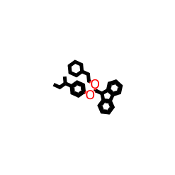 CCC(C)c1ccc(OC(OCCC2CCCCC2)C2c3ccccc3-c3ccccc32)cc1